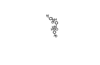 CC(=O)c1ccc(NC(=O)NCc2cccc(C(=O)Nc3ccc(CN(C)C)cc3)c2)cc1